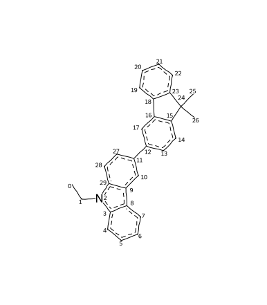 CCn1c2ccccc2c2cc(-c3ccc4c(c3)-c3ccccc3C4(C)C)ccc21